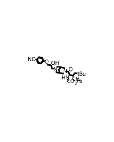 CC(CC(C)(C)C)[C@H](NC(=O)O)C(=O)N1CC2CC(CN(C[C@H](O)COc3ccc(C#N)cc3)C2)C1